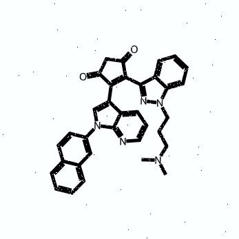 CN(C)CCCn1nc(C2=C(c3cn(-c4ccc5ccccc5c4)c4ncccc34)C(=O)CC2=O)c2ccccc21